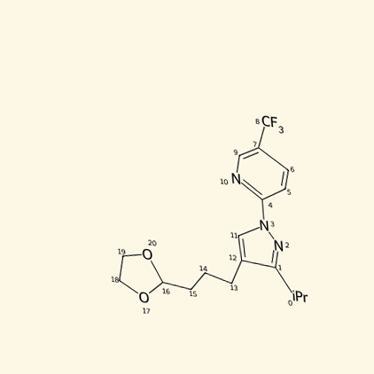 CC(C)c1nn(-c2ccc(C(F)(F)F)cn2)cc1CCCC1OCCO1